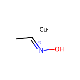 C/C=N/O.[Cu]